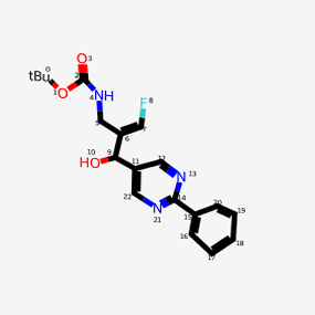 CC(C)(C)OC(=O)NCC(=CF)C(O)c1cnc(-c2ccccc2)nc1